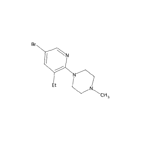 CCc1cc(Br)cnc1N1CCN(C)CC1